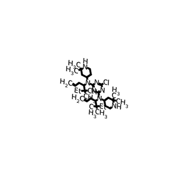 C=CCC(N(c1nc(Cl)nc(N(C2CCNC(C)(C)C2)C(CC=C)C(C)(C)CC)n1)C1CCNC(C)(C)C1)C(C)(C)CC